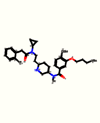 COCCCOc1cc(C(=O)N(C(C)C)[C@@H]2CC[C@H](CCN(C(=O)Cc3ccccc3C(F)(F)F)C3CC3)NC2)ccc1OC